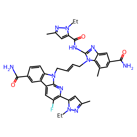 CCn1nc(C)cc1C(=O)Nc1nc2cc(C(N)=O)cc(C)c2n1C/C=C/Cn1c2ccc(C(N)=O)cc2c2cc(F)c(-c3cc(C)nn3CC)nc21